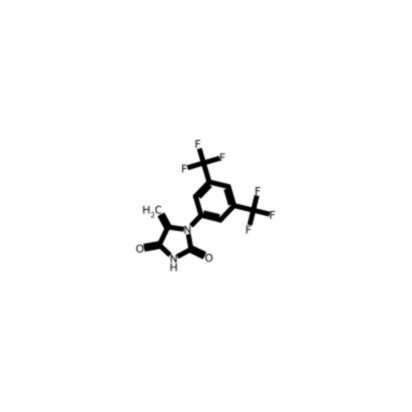 C=C1C(=O)NC(=O)N1c1cc(C(F)(F)F)cc(C(F)(F)F)c1